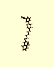 N#Cc1cccc(N2CCN(CCCCCOc3cc4ccccc4cn3)CC2)c1